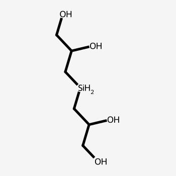 OCC(O)C[SiH2]CC(O)CO